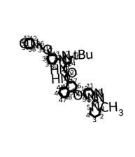 C[C@H]1CCCCN1c1nnc2ccc(O[C@@H]3CC[C@H](NC(=O)Nc4cc(C(C)(C)C)nn4-c4cccc(OCCN5CCOCC5)c4)c4ccccc43)cn12